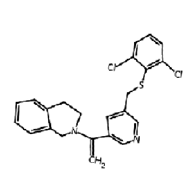 C=C(c1cncc(CSc2c(Cl)cccc2Cl)c1)N1CCc2ccccc2C1